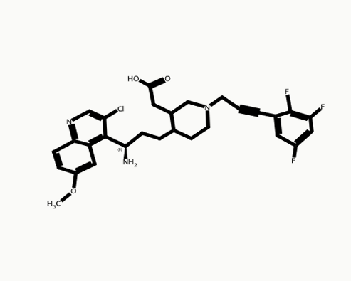 COc1ccc2ncc(Cl)c([C@H](N)CCC3CCN(CC#Cc4cc(F)cc(F)c4F)CC3CC(=O)O)c2c1